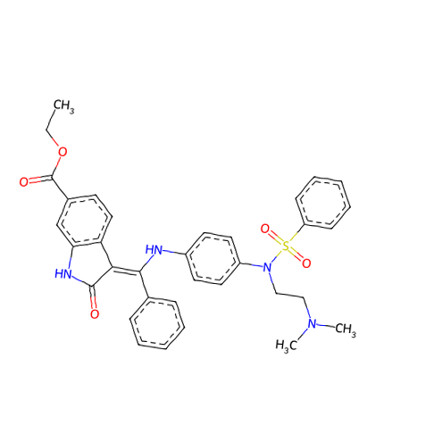 CCOC(=O)c1ccc2c(c1)NC(=O)C2=C(Nc1ccc(N(CCN(C)C)S(=O)(=O)c2ccccc2)cc1)c1ccccc1